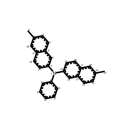 Cc1ccc2cc(N(c3ccccc3)c3ccc4cc(C)ccc4c3)ccc2c1